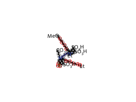 CCOCOCCOCCOCCOCCC1(C)\C(=C/C=C/C=C/C2=[N+](CC)c3ccc4c(S(=O)(=O)O)cc(S(=O)(=O)O)cc4c3C2(C)CCOCCOCCOCCOCCOC)N(CCCCCC(=O)O)c2ccc3c(S(=O)(=O)[O-])cc(S(=O)(=O)O)cc3c21